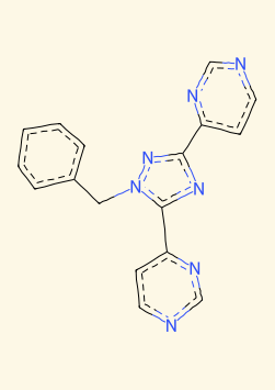 c1ccc(Cn2nc(-c3ccncn3)nc2-c2ccncn2)cc1